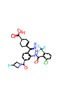 N=C(C1=CCC(C(=O)O)CC1)c1ccc(C(=O)N2CC(F)C2)cc1NC(=O)c1c(Cl)cccc1C(F)(F)F